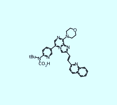 CC(C)(C)N(C(=O)O)c1ccc(-c2cnc(N3CCOCC3)c3nc(C=Cc4ccc5ccccc5n4)cn23)cn1